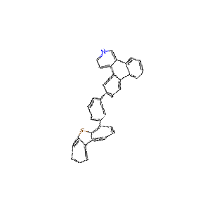 c1cc(-c2ccc3c4ccccc4c4cnccc4c3c2)cc(-c2cccc3c2sc2ccccc23)c1